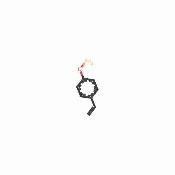 C=Cc1ccc(OP)cc1